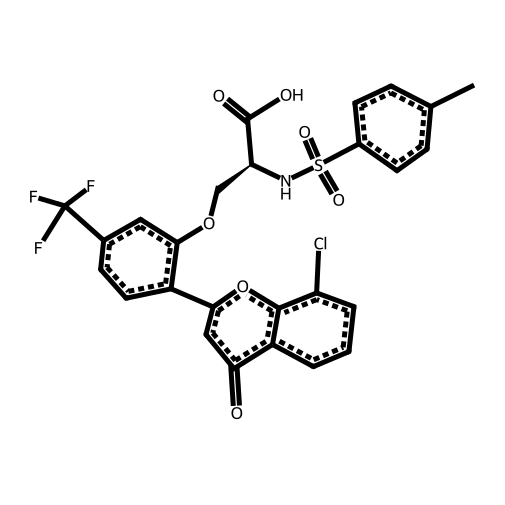 Cc1ccc(S(=O)(=O)N[C@@H](COc2cc(C(F)(F)F)ccc2-c2cc(=O)c3cccc(Cl)c3o2)C(=O)O)cc1